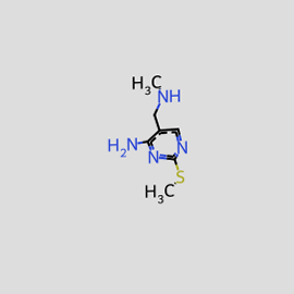 CNCc1cnc(SC)nc1N